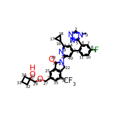 Cn1cnnc1-c1cc(F)ccc1-c1cc(C2CC2)nc(N2Cc3c(cc(COCC4(O)CCC4)cc3C(F)(F)F)C2=O)c1